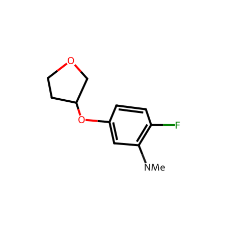 CNc1cc(OC2CCOC2)ccc1F